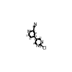 N#Cc1cc(-c2cnc(Cl)nc2)ccn1